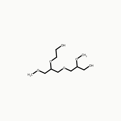 COCC(COCC(CO)OC)OCCO